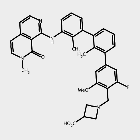 COc1cc(-c2cccc(-c3cccc(Nc4nccc5ccn(C)c(=O)c45)c3C)c2C)cc(F)c1CN1CC(C(=O)O)C1